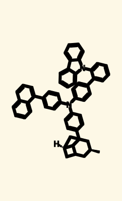 C[C@H]1CC2C[C@H]3CC(c4ccc(N(c5ccc(-c6ccccc6-n6c7ccccc7c7ccccc76)cc5)c5ccc(-c6cccc7ccccc67)cc5)cc4)(C1)C23